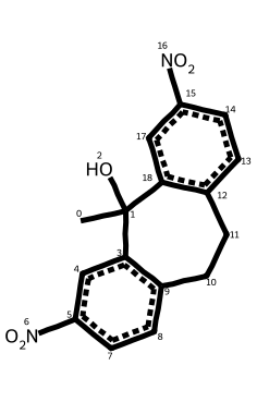 CC1(O)c2cc([N+](=O)[O-])ccc2CCc2ccc([N+](=O)[O-])cc21